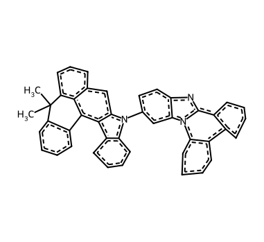 CC1(C)c2ccccc2-c2c3c1cccc3cc1c2c2ccccc2n1-c1ccc2nc3c4ccccc4c4ccccc4n3c2c1